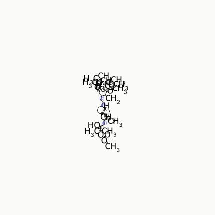 C=C1/C(=C\C=C2/CCC[C@]3(C)[C@@H]([C@H](C)/C=C/[C@H](O)C(C)(C)OC(=O)OCC)CC[C@@H]23)C[C@@H](O[Si](C)(C)C(C)(C)C)C[C@@H]1O[Si](C)(C)C(C)(C)C